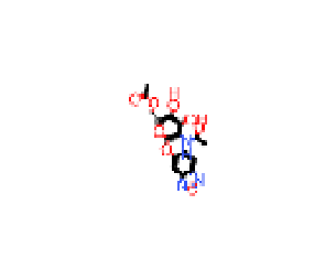 CC(=O)N[C@H]1[C@H](Oc2ccc3nonc3c2)O[C@H](COC(C)=O)[C@@H](O)[C@H]1O